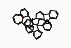 C1=CC=C(c2ccccc2N(c2ccccc2)c2ccc3c(oc4ccccc43)c2C2(c3ccccc3)c3ccccc3-c3ccccc32)CC=C1